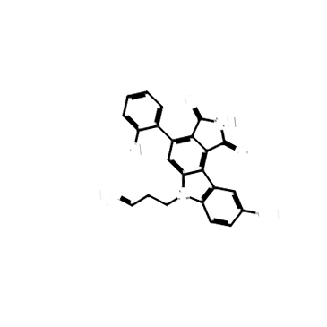 C=CCCn1c2ccc(O)cc2c2c3c(c(-c4ccccc4Cl)cc21)C(=O)NC3=O